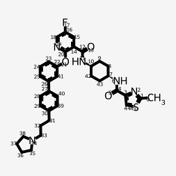 Cc1nc(C(=O)N[C@H]2CC[C@H](NC(=O)c3cc(F)cnc3Oc3cccc(-c4ccc(CCCN5CCCC5)cc4)c3)CC2)cs1